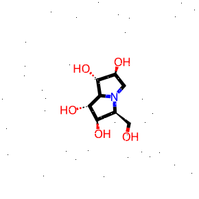 OC[C@H]1[C@@H](O)[C@H](O)C2[C@H](O)[C@@H](O)CN21